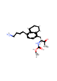 COC(=O)[C@H](Cc1ccc(CCCCN)c2c1CCCC2)NC(=O)OC(C)(C)C